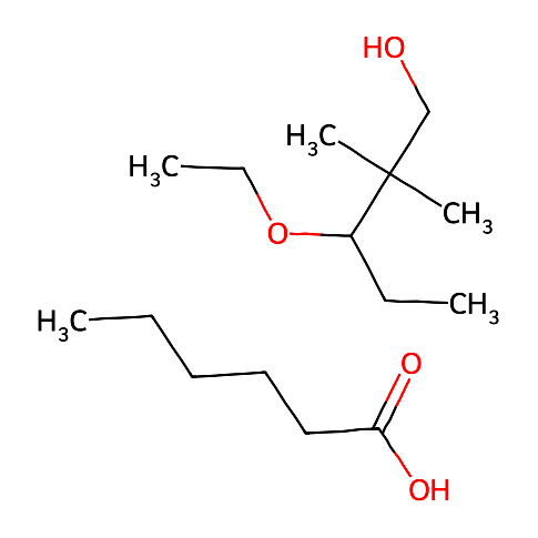 CCCCCC(=O)O.CCOC(CC)C(C)(C)CO